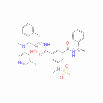 C[C@@H](NC(=O)c1cc(C(=O)N[C@@H](Cc2ccccc2)[C@H](O)CN(C)c2cncc(F)c2)cc(N(C)S(C)(=O)=O)c1)c1ccccc1